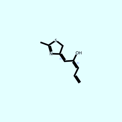 C=C/C=C(O)\C=C1/CSC(C)=N1